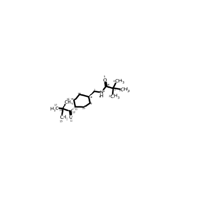 CC(C)(C)C(=O)NC[C@H]1CC[C@H](C(=O)C(C)(C)C)CC1